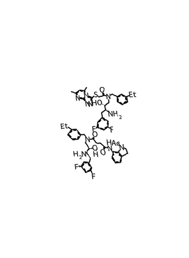 CCc1cccc(CN(C[C@@H](O)[C@@H](N)Cc2cc(F)cc(F)c2)C(=O)CCC(=O)Nc2cccc3c2N(C(C)=O)CC3)c1.CCc1cccc(CN(C[C@@H](O)[C@@H](N)Cc2cc(F)cc(F)c2)C(=O)CSc2nnc3nc(C)cc(C)n23)c1